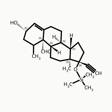 C#C[C@]1(O[Si](C)(C)C)CC[C@H]2[C@@H]3CCC4=C[C@@H](O)CC(C)[C@]4(C=O)[C@H]3CC[C@@]21C